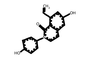 C=Cc1cc(O)cc2ccn(-c3ccc(O)cc3)c(=O)c12